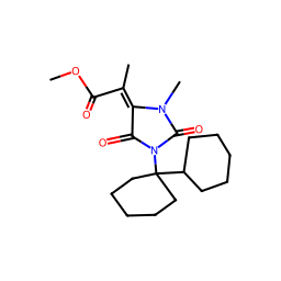 COC(=O)C(C)=C1C(=O)N(C2(C3CCCCC3)CCCCC2)C(=O)N1C